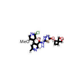 COc1cnc(Cl)cc1-c1cc(C)ncc1C(=O)Nc1nnc(OC2CCC23COC3)s1